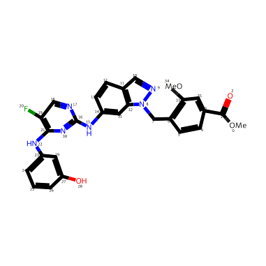 COC(=O)c1ccc(Cn2ncc3ccc(Nc4ncc(F)c(Nc5cccc(O)c5)n4)cc32)c(OC)c1